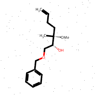 C=CCC[C@@](C)(OC)[C@H](O)COCc1ccccc1